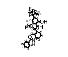 O=C(Nc1cccc(C(=O)Nc2c(O)cc(C(F)(C(F)(F)F)C(F)(F)F)cc2OC(F)F)c1F)c1ccccc1